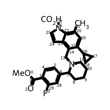 COC(=O)c1ccc(C2CCCCN2Cc2c(C3CC3)cc(C)c3c2ccn3C(=O)O)cc1F